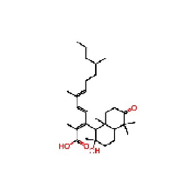 CCCC(C)CCC=C(C)C=CC(=C(C)C(=O)O)C1C(C)(O)CCC2C(C)(C)C(=O)CCC12C